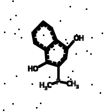 CP(C)c1cc(O)c2ccccc2c1O